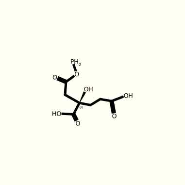 O=C(O)CC[C@@](O)(CC(=O)OP)C(=O)O